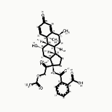 CC(=O)OCC(=O)[C@@]1(OC(=O)c2ccccc2C(=O)O)CC[C@H]2[C@@H]3C[C@H](C)C4=CC(=O)C=C[C@]4(C)[C@H]3[C@@H](O)C[C@@]21C